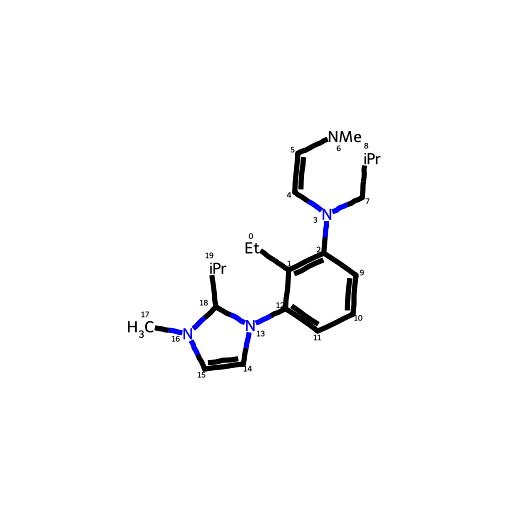 CCc1c(N(/C=C\NC)CC(C)C)cccc1N1C=CN(C)C1C(C)C